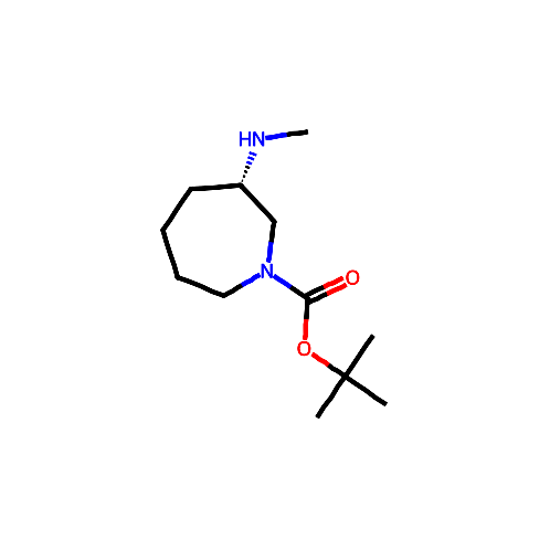 CN[C@H]1CCCCN(C(=O)OC(C)(C)C)C1